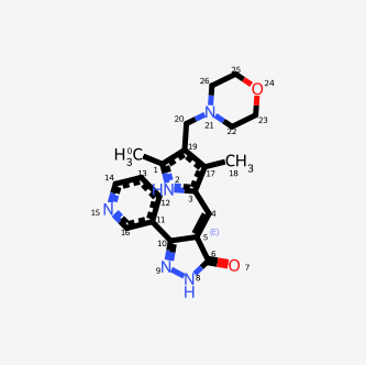 Cc1[nH]c(/C=C2/C(=O)NN=C2c2cccnc2)c(C)c1CN1CCOCC1